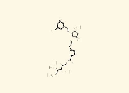 O=C(OC[C@H](O)[C@@H](O)[C@H](O)CO)c1ccc(CCC[C@@H]2[C@@H](CCc3cc(Cl)cc(Cl)c3)[C@H](O)C[C@H]2Cl)s1